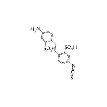 Nc1ccc(CCc2ccc(N=C=S)cc2S(=O)(=O)O)c(S(=O)(=O)O)c1